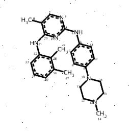 Cc1cnc(Nc2ccc(N3CCN(C)CC3)cc2)nc1Nc1cccc(C)c1C